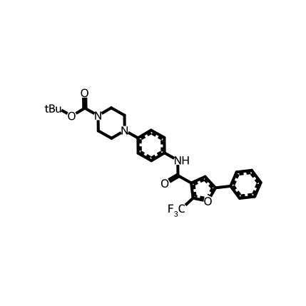 CC(C)(C)OC(=O)N1CCN(c2ccc(NC(=O)c3cc(-c4ccccc4)oc3C(F)(F)F)cc2)CC1